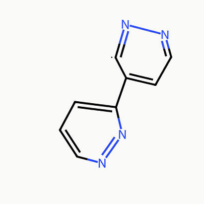 [c]1nnccc1-c1cccnn1